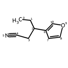 CCC(CC#N)c1ccoc1